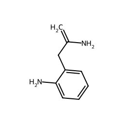 C=C(N)Cc1ccccc1N